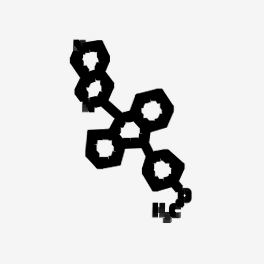 COc1ccc(-c2c3ccccc3c(-c3cc4ccncc4cn3)c3ccccc23)cc1